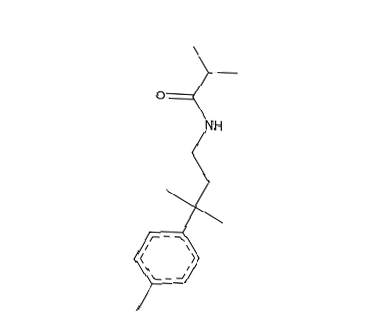 Cc1ccc(C(C)(C)CCNC(=O)C(C)C)cc1